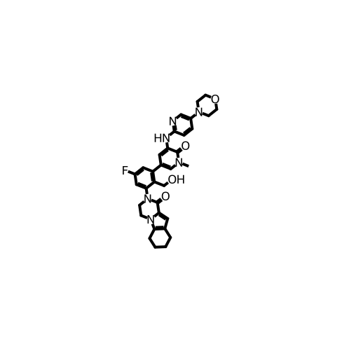 Cn1cc(-c2cc(F)cc(N3CCn4c(cc5c4CCCC5)C3=O)c2CO)cc(Nc2ccc(N3CCOCC3)cn2)c1=O